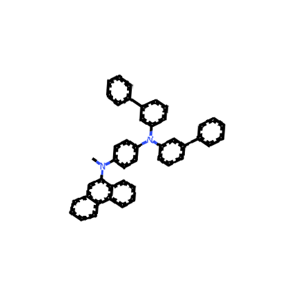 CN(c1ccc(N(c2cccc(-c3ccccc3)c2)c2cccc(-c3ccccc3)c2)cc1)c1cc2ccccc2c2ccccc12